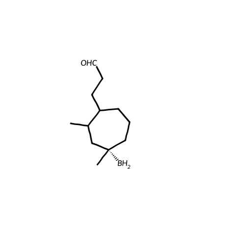 B[C@@]1(C)CCCC(CCC=O)C(C)C1